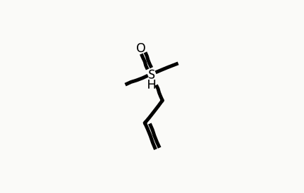 C=CC[SH](C)(C)=O